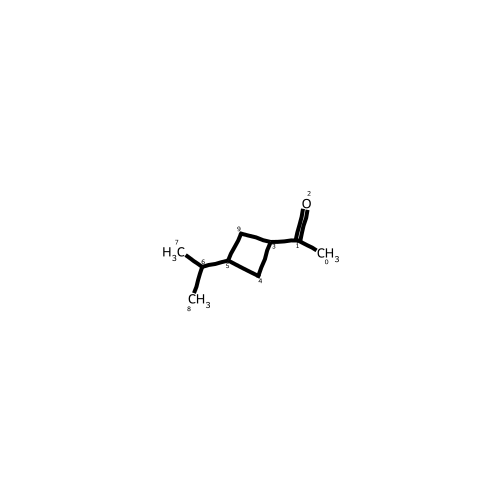 CC(=O)C1CC(C(C)C)C1